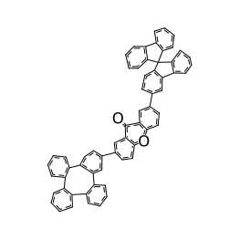 O=c1c2cc(-c3ccc4c(c3)-c3ccccc3-c3ccccc3-c3ccccc3-4)ccc2oc2ccc(-c3ccc4c(c3)-c3ccccc3C43c4ccccc4-c4ccccc43)cc12